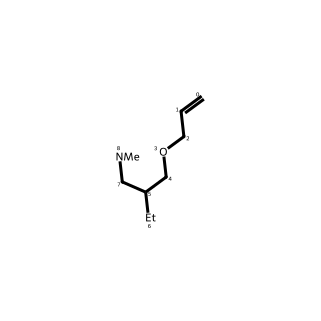 C=CCOCC(CC)CNC